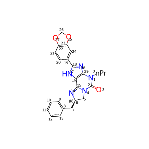 CCCN1C(=O)N2C[C@@H](Cc3ccccc3)N=C2c2[nH]c(-c3ccc4c(c3)OCO4)nc21